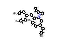 Cc1cc(C(C)(C)C)cc(C)c1-c1cccc(-c2cc(-c3cccc(-c4cccc(-c5cc(-c6cccc(-c7cc(-c8cccc(-c9c(C)cc(C(C)(C)C)cc9C)c8)cc(-c8cccc(-c9c(C)cc(C(C)(C)C)cc9C)c8)c7)c6)nc(-n6c7ccccc7c7cc8c(cc76)C(C)(C)c6ccccc6-8)n5)c4)c3)cc(-c3cccc(-c4c(C)cc(C(C)(C)C)cc4C)c3)c2)c1